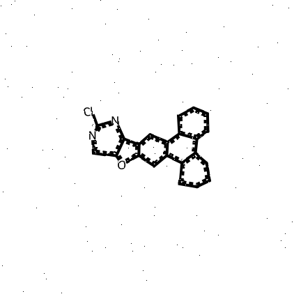 Clc1ncc2oc3cc4c5ccccc5c5ccccc5c4cc3c2n1